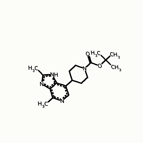 Cc1nc2c(C)ncc(C3CCN(C(=O)OC(C)(C)C)CC3)c2[nH]1